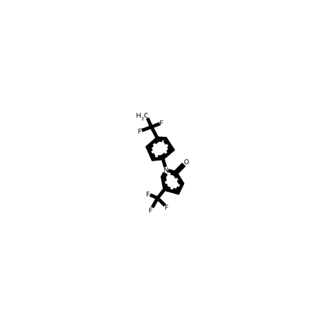 CC(F)(F)c1ccc(-n2cc(C(F)(F)F)ccc2=O)cc1